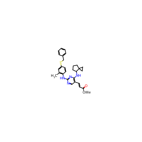 COC(=O)/C=C/c1cnc(Nc2ccc(SCc3ccccc3)cc2C)nc1NC1CCCC12CC2